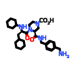 NCc1ccc(CNC(=O)[C@@H]2CN(C(=O)O)CCN2C(=O)[C@@H](CC2CCCCC2)NC2CCCCC2)cc1